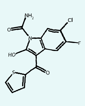 NC(=O)n1c(O)c(C(=O)c2cccs2)c2cc(F)c(Cl)cc21